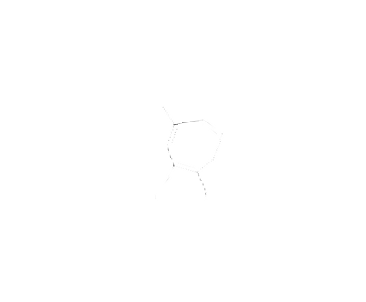 CC1=C(Cl)CC=CC(Cl)=C1